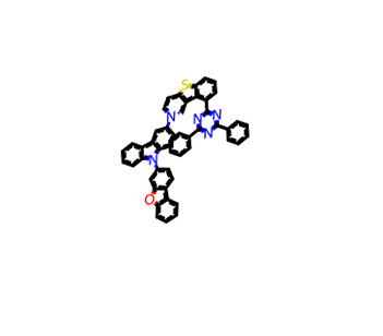 c1ccc(-c2nc(-c3ccccc3)nc(-c3cccc4sc5cc[n+](-c6ccc7c(c6)c6ccccc6n7-c6ccc7c(c6)oc6ccccc67)cc5c34)n2)cc1